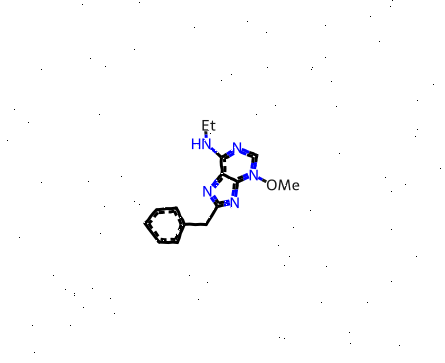 CCNc1ncn(OC)c2nc(Cc3ccccc3)nc1-2